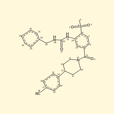 CS(=O)(=O)c1ccc(C(=O)N2CCC(c3ccc(C#N)cc3)CC2)cc1NC(=O)NCc1ccccc1